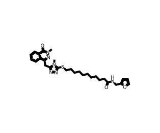 Cn1c(Cc2nn(C)c(=O)c3ccccc23)nnc1SCCCCCCCCCCC(=O)NCc1ccco1